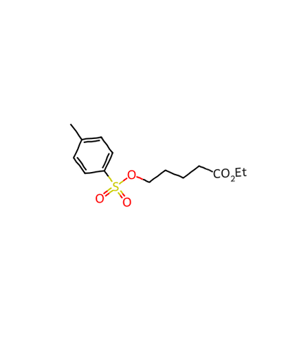 CCOC(=O)CCCCOS(=O)(=O)c1ccc(C)cc1